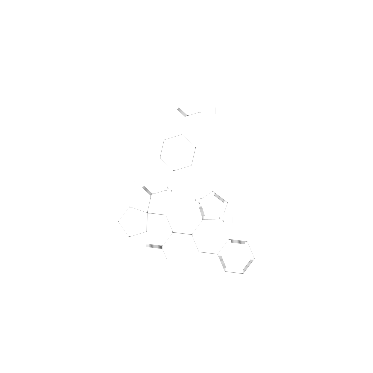 O=C(O)C(CC1(C(=O)N[C@H]2CC[C@@H](C(=O)O)CC2)CCCC1)C(Cc1ccccc1)c1ncc[nH]1